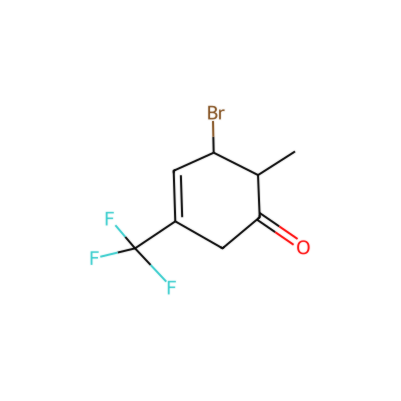 CC1C(=O)CC(C(F)(F)F)=CC1Br